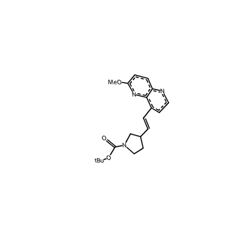 COc1ccc2nccc(C=CC3CCN(C(=O)OC(C)(C)C)C3)c2n1